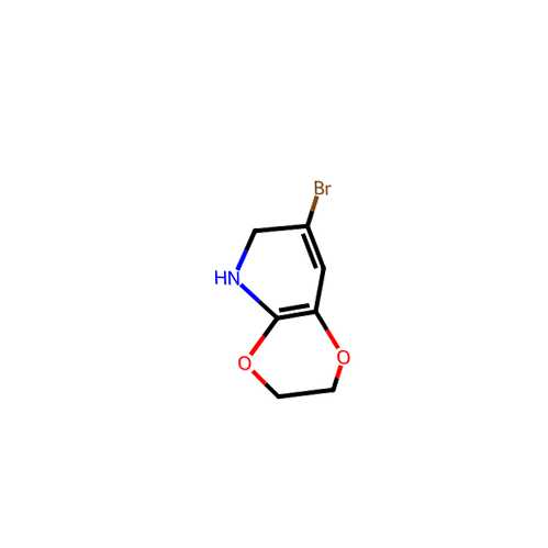 BrC1=CC2=C(NC1)OCCO2